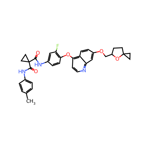 Cc1ccc(NC(=O)C2(C(=O)Nc3ccc(Oc4ccnc5cc(OCC6CCC7(CC7)O6)ccc45)c(F)c3)CC2)cc1